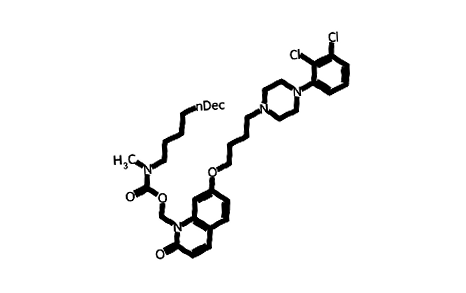 CCCCCCCCCCCCCCN(C)C(=O)OCn1c(=O)ccc2ccc(OCCCCN3CCN(c4cccc(Cl)c4Cl)CC3)cc21